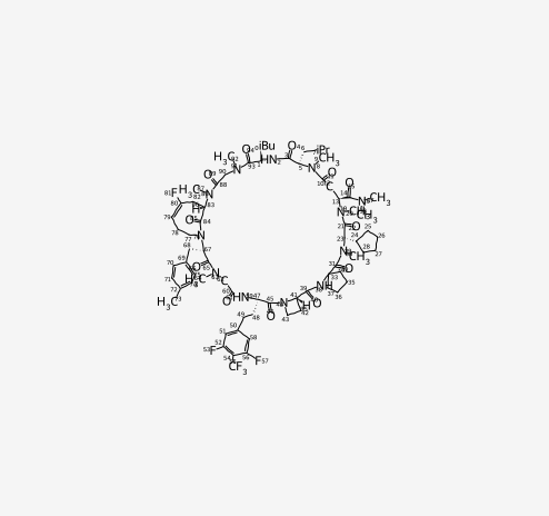 CC[C@H](C)[C@@H]1NC(=O)[C@H](CC(C)C)N(C)C(=O)C[C@@H](C(=O)N(C)C)N(C)C(=O)[C@H](C2CCCC2)N(C)C(=O)C2(CCCC2)NC(=O)[C@@H]2CCN2C(=O)[C@H](CCc2cc(F)c(C(F)(F)F)c(F)c2)NC(=O)CN(C)C(=O)[C@H](Cc2ccc(C)cc2)N2CC/C=C(/F)C[C@@H](C2=O)N(C)C(=O)CN(C)C1=O